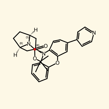 CC(C)(C)OC(=O)N1[C@@H]2CC[C@H]1C[C@@H](N1c3ccccc3Oc3cc(-c4ccncc4)ccc31)C2